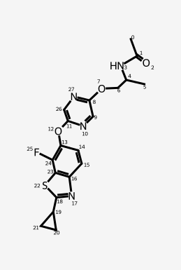 CC(=O)NC(C)COc1cnc(Oc2ccc3nc(C4CC4)sc3c2F)cn1